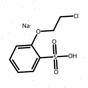 O=S(=O)(O)c1ccccc1OCCCl.[Na]